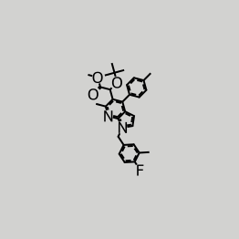 COC(=O)C(OC(C)(C)C)c1c(C)nc2c(ccn2Cc2ccc(F)c(C)c2)c1-c1ccc(C)cc1